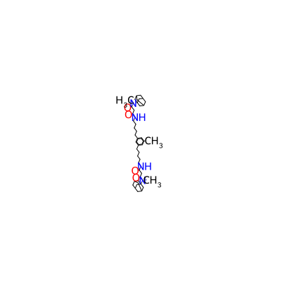 Cc1cc(CCCCCNC(=O)CC(=O)N(C)C23CC4CC(CC(C4)C2)C3)cc(CCCCCNC(=O)CC(=O)N(C)C23CC4CC(CC(C4)C2)C3)c1